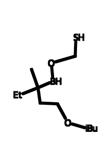 CCC(C)OCCC(C)(BOCS)CC